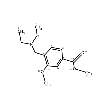 CCN(CC)Cc1ccc(C(=O)OC)cc1OC